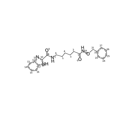 O=C(CCCCCNC(=O)c1nc2ccccc2[nH]1)NOCc1ccccc1